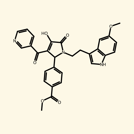 COC(=O)c1ccc(C2C(C(=O)c3cccnc3)=C(O)C(=O)N2CCc2c[nH]c3ccc(OC)cc23)cc1